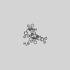 COc1ccc(CNC(=O)C2(C(=O)NC(CCCN)OBOC(CCCN)NC(=O)C3(C(=O)NCc4ccc(OC)c(OC)c4)CCCC3)CCCC2)cc1OC